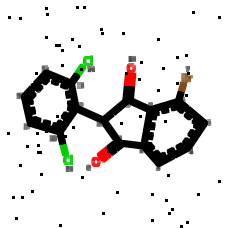 O=C1c2cccc(Br)c2C(=O)C1c1c(Cl)cccc1Cl